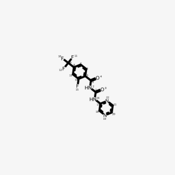 O=C(NC(=O)c1ccc(C(F)(F)F)cc1F)Nc1cnccn1